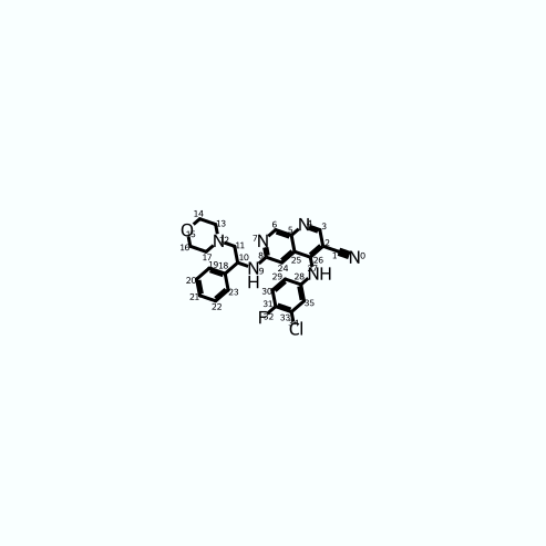 N#Cc1cnc2cnc(NC(CN3CCOCC3)c3ccccc3)cc2c1Nc1ccc(F)c(Cl)c1